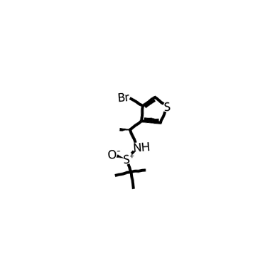 C[C@H](N[S@+]([O-])C(C)(C)C)c1cscc1Br